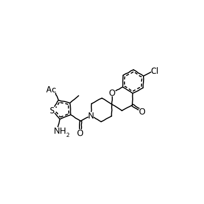 CC(=O)c1sc(N)c(C(=O)N2CCC3(CC2)CC(=O)c2cc(Cl)ccc2O3)c1C